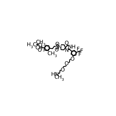 CNCCOCCOCCOc1cc(C2=NC3(CCN(S(=O)(=O)CCc4ccc(C(=O)OC(C)(C)C)cc4C)CC3)C(=O)N2)cc(C(F)(F)F)c1